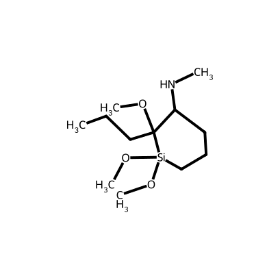 CCCC1(OC)C(NC)CCC[Si]1(OC)OC